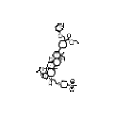 C=C(C)[C@@H]1CC[C@]2(NCCN3CCC(S(C)(=O)=O)CC3)CC[C@]3(C)[C@H](CC[C@@H]4[C@@]5(C)CC=C(C6=CCC(COc7cccnc7)(C(=O)OCC)CC6)C(C)(C)[C@@H]5CC[C@]43C)[C@@H]12